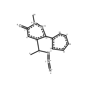 CC(N=[N+]=[N-])c1cc(=O)n(C)nc1-c1ccccc1